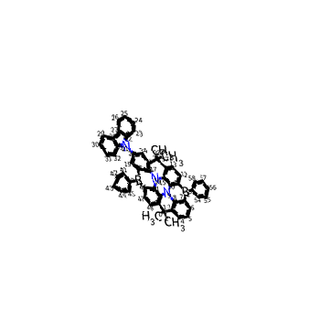 CC1(C)c2cccc3c2N2c4c(ccc5c4N4c6c(cc(-n7c8ccccc8c8ccccc87)cc6C5(C)C)B(c5ccccc5)c5ccc1c2c54)B3c1ccccc1